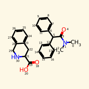 CN(C)C(=O)C(c1ccccc1)c1ccccc1.O=C(O)C1Cc2ccccc2CN1